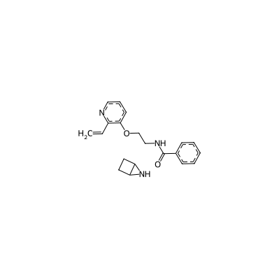 C1CC2NC12.C=Cc1ncccc1OCCNC(=O)c1ccccc1